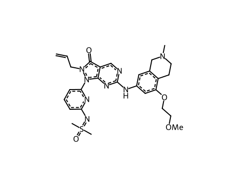 C=CCn1c(=O)c2cnc(Nc3cc4c(c(OCCOC)c3)CCN(C)C4)nc2n1-c1cccc(N=S(C)(C)=O)n1